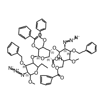 CCC1OC(OC)[C@@H](N=[N+]=[N-])[C@@H](OCc2ccccc2)C1O[C@@H]1O[C@@H](C(=O)O)[C@@H](OC2OC(COC(=O)c3ccccc3)C(OC)[C@H](OCc3ccccc3)[C@@H]2N=[N+]=[N-])C(OCc2ccccc2)C1OC(=O)c1ccccc1